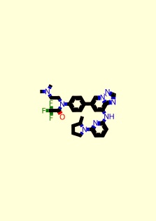 CC1CCCN1c1cccc(Nc2cc(-c3ccc(N(CCN(C)C)C(=O)C(F)(F)F)cc3)cn3ncnc23)n1